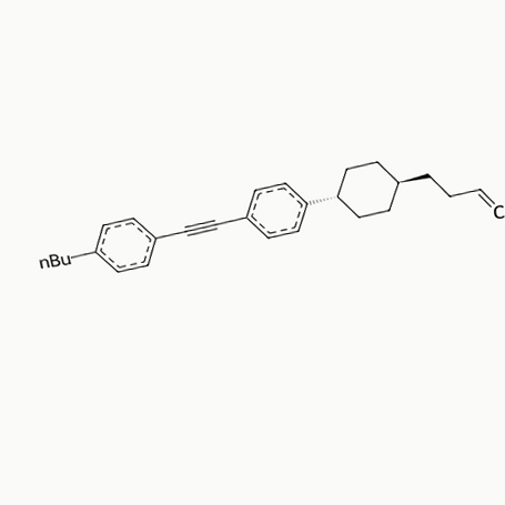 C=CCC[C@H]1CC[C@H](c2ccc(C#Cc3ccc(CCCC)cc3)cc2)CC1